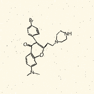 CN(C)c1ccc2c(=O)c(-c3ccc(Br)cc3)c(CCN3CCNCC3)oc2c1